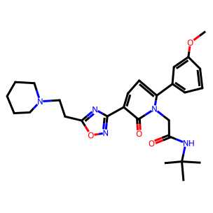 COc1cccc(-c2ccc(-c3noc(CCN4CCCCC4)n3)c(=O)n2CC(=O)NC(C)(C)C)c1